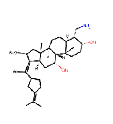 CC(=O)O[C@H]1C[C@@]2(C)[C@@H](C[C@@H](O)[C@H]3[C@@]4(C)CC[C@@H](O)[C@@H](CN)[C@@H]4CC[C@@]32C)/C1=C(/C(C)=O)C1CCC(=C(C)C)C1